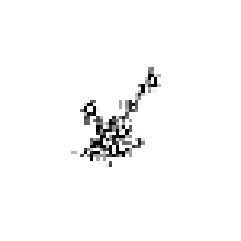 COc1c(OCCCNCCCCc2ccccc2)cccc1C1OC(CC(=O)NCc2ccccc2F)C(=O)N(CC(C)(C)C)c2ccc(Cl)cc21.Cl